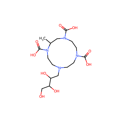 CC1CN(C(=O)O)CCN(C(=O)O)CCN(CC(O)C(O)CO)CCN1C(=O)O